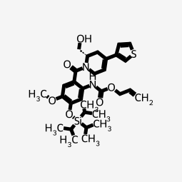 C=CCOC(=O)Nc1cc(O[Si](C(C)C)(C(C)C)C(C)C)c(OC)cc1C(=O)N1CC=C(c2ccsc2)C[C@H]1CO